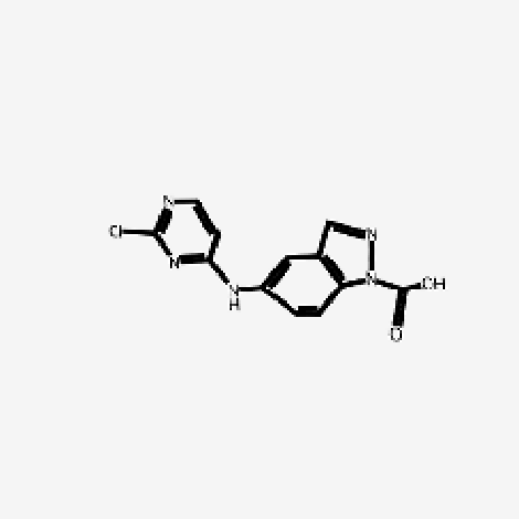 O=C(O)n1ncc2cc(Nc3ccnc(Cl)n3)ccc21